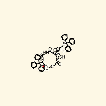 O=C1CNC(=O)C(O[SiH3])C(C=CCCSC(c2ccccc2)(c2ccccc2)c2ccccc2)(CS)OOC(=O)CCCNC(=O)C(C(c2ccccc2)(c2ccccc2)c2ccccc2)N1